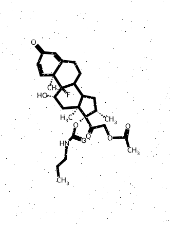 CCCNC(=O)O[C@@]1(C(=O)COC(C)=O)[C@@H](C)CC2C3CCC4=CC(=O)C=C[C@]4(C)C3(F)[C@@H](O)C[C@@]21C